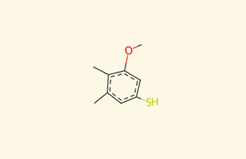 COc1cc(S)cc(C)c1C